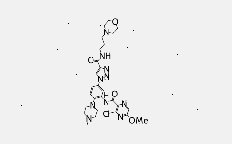 COc1cnc(C(=O)Nc2cc(-n3cc(C(=O)NCCCN4CCOCC4)nn3)ccc2N2CCN(C)CC2)c(Cl)n1